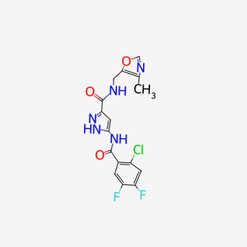 Cc1ncoc1CNC(=O)c1cc(NC(=O)c2cc(F)c(F)cc2Cl)[nH]n1